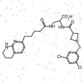 O=C(CCCCc1ccc2c(n1)NCCC2)NCC(NC(=O)C1CN(Sc2cc(Cl)cc(Cl)c2)C1)C(=O)O